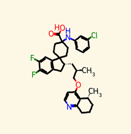 C[C@@H](COc1ccnc2c1[C@H](C)CCC2)C[C@@H]1Cc2cc(F)c(F)cc2C12CCC(Nc1cccc(Cl)c1)(C(=O)O)CC2